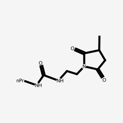 CCCNC(=O)NCCN1C(=O)CC(C)C1=O